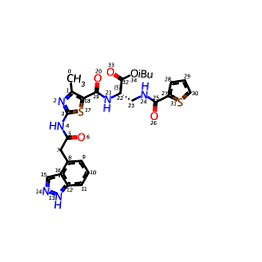 Cc1nc(NC(=O)Cc2cccc3[nH]ncc23)sc1C(=O)N[C@@H](CNC(=O)c1cccs1)C(=O)OCC(C)C